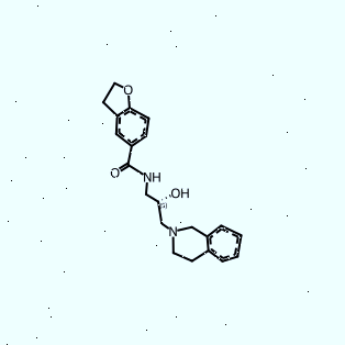 O=C(NC[C@H](O)CN1CCc2ccccc2C1)c1ccc2c(c1)CCO2